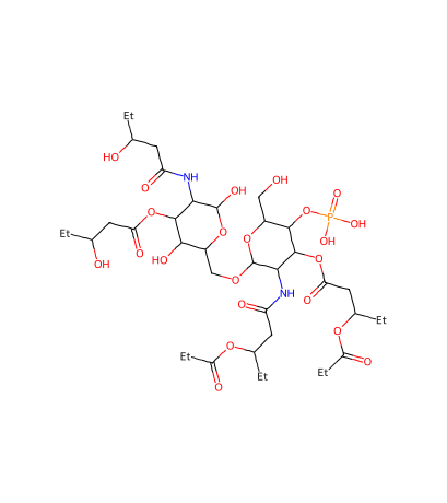 CCC(=O)OC(CC)CC(=O)NC1C(OCC2OC(O)C(NC(=O)CC(O)CC)C(OC(=O)CC(O)CC)C2O)OC(CO)C(OP(=O)(O)O)C1OC(=O)CC(CC)OC(=O)CC